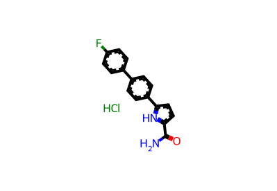 Cl.NC(=O)c1ccc(-c2ccc(-c3ccc(F)cc3)cc2)[nH]1